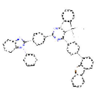 CC1(C)c2ccccc2-c2nc(-c3ccc(-c4nc5ccccc5n4-c4ccccc4)cc3)nc(-c3ccc(-c4cccc5c4sc4ccccc45)cc3)c21